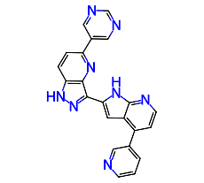 c1cncc(-c2ccnc3[nH]c(-c4n[nH]c5ccc(-c6cncnc6)nc45)cc23)c1